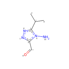 CC(C)c1nnc(C=O)n1N